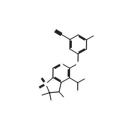 N#Cc1cc(F)cc(Oc2ncc3c(c2C(F)F)C(O)C(F)(F)S3(=O)=O)c1